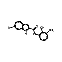 Bc1cccc(NC(=O)c2cc3ccc(Br)cc3[nH]2)c1O